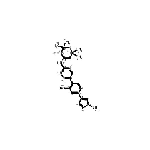 Cn1cc(-c2ccc(-c3cnc(N[C@H]4CC(C)(C)NC(C)(C)[C@H]4F)nn3)c(O)c2)cn1